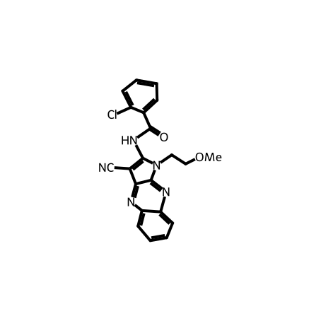 COCCn1c(NC(=O)c2ccccc2Cl)c(C#N)c2nc3ccccc3nc21